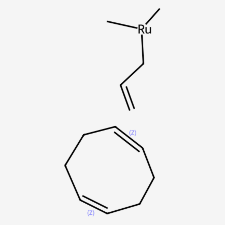 C1=C\CC/C=C\CC/1.C=C[CH2][Ru]([CH3])[CH3]